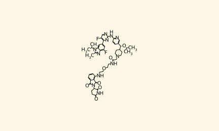 Cc1nc2c(F)cc(-c3nc(Nc4ccc([C@H](OC(C)C)C5CCN(CC(=O)NCCOCCNc6cccc7c6C(=O)N(C6CCC(=O)NC6=O)C7=O)CC5)cn4)ncc3F)cc2n1C(C)C